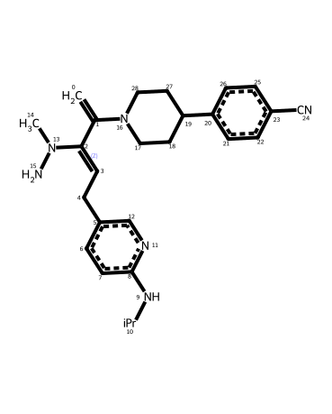 C=C(/C(=C/Cc1ccc(NC(C)C)nc1)N(C)N)N1CCC(c2ccc(C#N)cc2)CC1